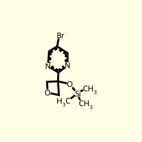 C[Si](C)(C)OC1(c2ncc(Br)cn2)COC1